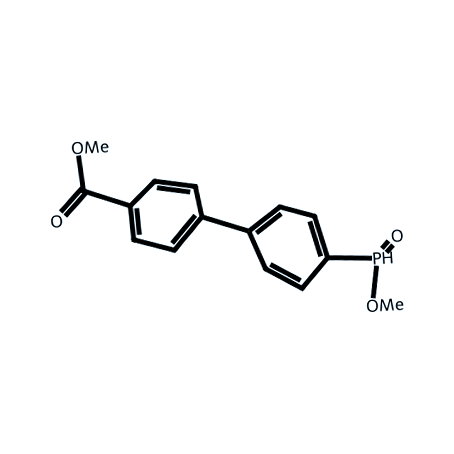 COC(=O)c1ccc(-c2ccc([PH](=O)OC)cc2)cc1